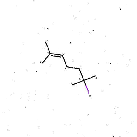 CC(C)=CCCC(C)(C)I